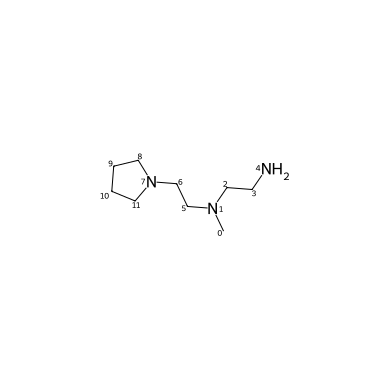 CN(CCN)CCN1CCCC1